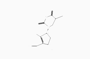 CC1CN([C@H]2C[C@H](O)C(CO)=C2F)C(=O)NC1=O